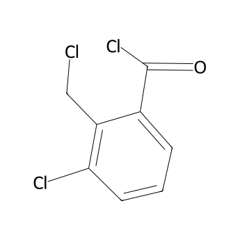 O=C(Cl)c1cccc(Cl)c1CCl